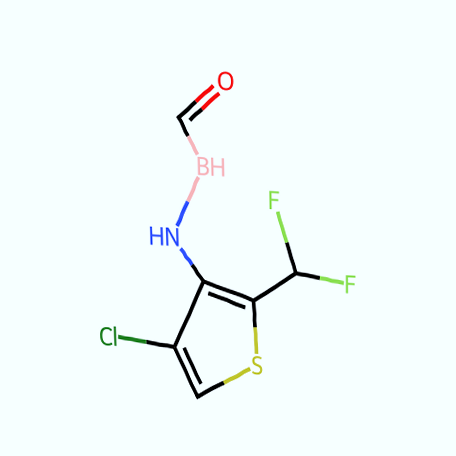 O=CBNc1c(Cl)csc1C(F)F